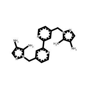 Nc1cnn(Cc2ccnc(-c3cc(Cn4ncc(N)c4N)ccn3)c2)c1N